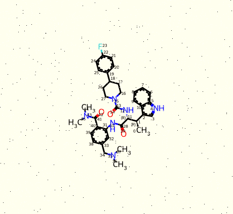 C[C@H](c1c[nH]c2ccccc12)[C@@H](NC(=O)N1CCC(c2ccc(F)cc2)CC1)C(=O)Nc1cc(CN(C)C)ccc1C(=O)N(C)C